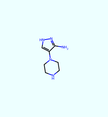 Nc1n[nH]cc1N1CCNCC1